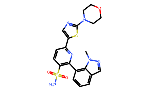 Cn1ncc2cccc(-c3nc(-c4cnc(N5CCOCC5)s4)ccc3S(N)(=O)=O)c21